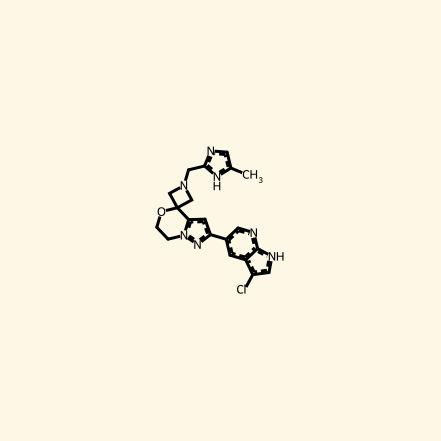 Cc1cnc(CN2CC3(C2)OCCn2nc(-c4cnc5[nH]cc(Cl)c5c4)cc23)[nH]1